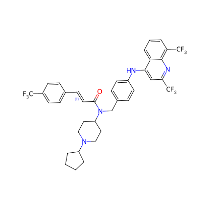 O=C(/C=C/c1ccc(C(F)(F)F)cc1)N(Cc1ccc(Nc2cc(C(F)(F)F)nc3c(C(F)(F)F)cccc23)cc1)C1CCN(C2CCCC2)CC1